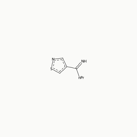 CCCC(=N)c1cnsc1